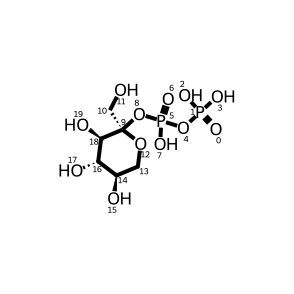 O=P(O)(O)OP(=O)(O)O[C@@]1(CO)OC[C@@H](O)[C@H](O)[C@H]1O